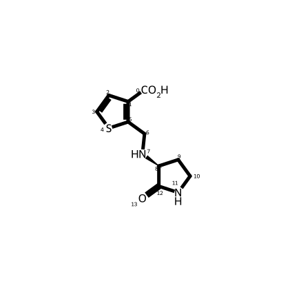 O=C(O)c1ccsc1CN[C@H]1CCNC1=O